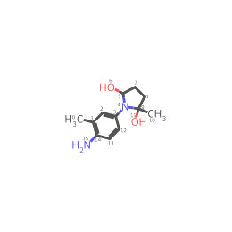 Cc1cc(N2C(O)CCC2(C)O)ccc1N